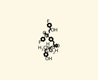 CC(Cc1ccc(O)cc1)(NC(=O)COC1(CCc2ccc([C@@H]3[C@@H](CCC(O)c4ccc(F)cc4)C(=O)N3c3ccc(F)cc3)cc2)COC1)C(=O)O